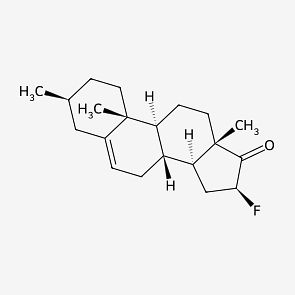 C[C@H]1CC[C@@]2(C)C(=CC[C@@H]3[C@@H]2CC[C@]2(C)C(=O)[C@@H](F)C[C@@H]32)C1